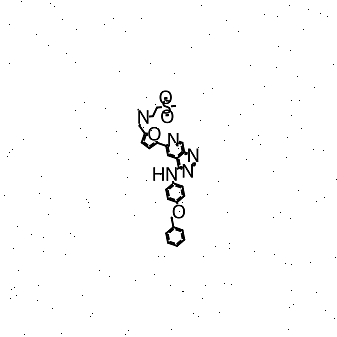 CN(CCS(C)(=O)=O)Cc1ccc(-c2cc3c(Nc4ccc(OCc5ccccc5)cc4)ncnc3cn2)o1